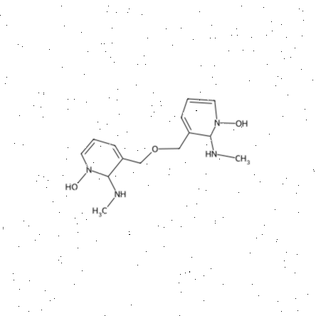 CNC1C(COCC2=CC=CN(O)C2NC)=CC=CN1O